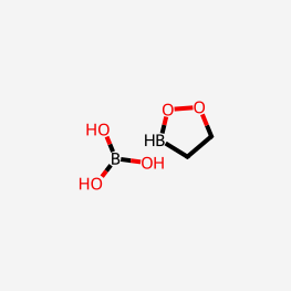 B1CCOO1.OB(O)O